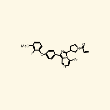 C=CC(=O)N1CCC(c2nc(-c3ccc(Oc4cccc(OC)c4F)cc3)c3cncc(C(C)C)n23)C1